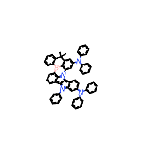 CC1(C)c2ccccc2B2c3c(cc(N(c4ccccc4)c4ccccc4)cc31)-n1c3c2cccc3c2c1c1ccc(N(c3ccccc3)c3ccccc3)cc1n2-c1ccccc1